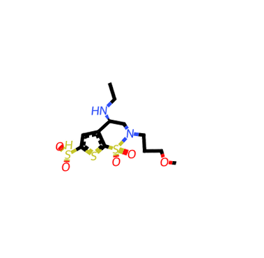 CCN[C@H]1CN(CCCOC)S(=O)(=O)c2sc([SH](=O)=O)cc21